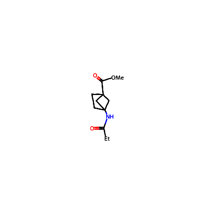 CCC(=O)NC12CCC(C(=O)OC)(C1)C2